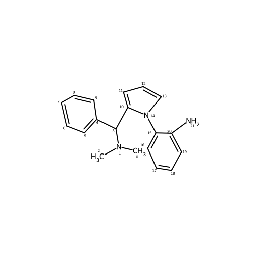 CN(C)C(c1ccccc1)c1cccn1-c1ccccc1N